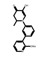 COc1ncccc1-c1cccc(N2C=C(O)C(=O)CC2C)c1